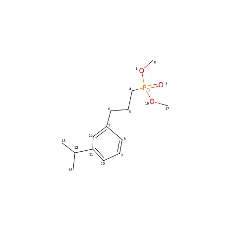 COP(=O)(CCCc1cccc(C(C)C)c1)OC